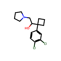 OC(CN1CCCC1)C1(c2ccc(Cl)c(Cl)c2)CCC1